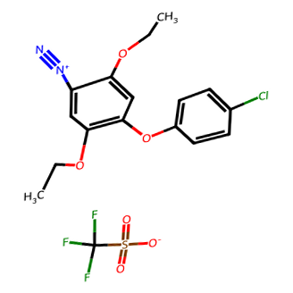 CCOc1cc(Oc2ccc(Cl)cc2)c(OCC)cc1[N+]#N.O=S(=O)([O-])C(F)(F)F